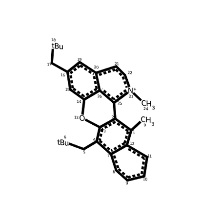 Cc1c2c(c(CC(C)(C)C)c3ccccc13)Oc1cc(CC(C)(C)C)cc3cc[n+](C)c-2c13